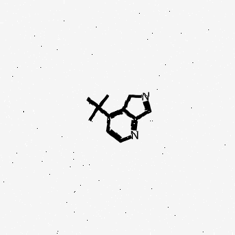 CC(C)(C)c1ccnc2c1CN=C2